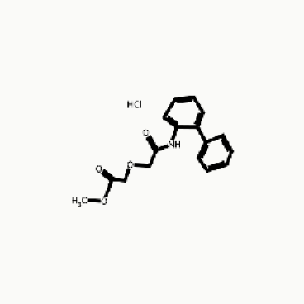 COC(=O)COCC(=O)Nc1ccccc1-c1ccccc1.Cl